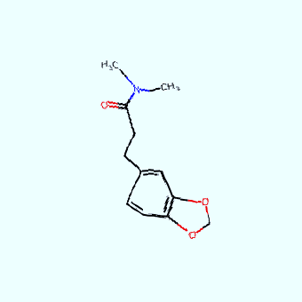 CN(C)C(=O)CCc1ccc2c(c1)OCO2